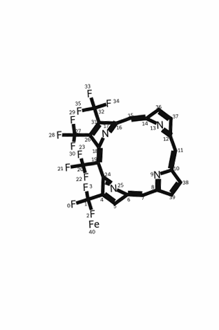 FC(F)(F)C1=CC2=CC3=NC(=CC4=NC(=CC5=NC(=C(C(F)(F)F)C1=N2)C(C(F)(F)F)=C5C(F)(F)F)C=C4)C=C3.[Fe]